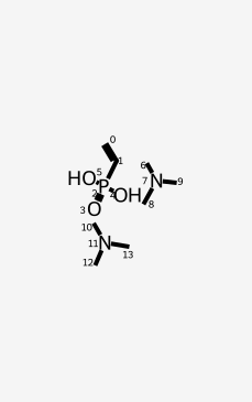 C=CP(=O)(O)O.CN(C)C.CN(C)C